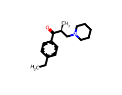 CCc1ccc(C(=O)[C@@H](C)CN2CCCCC2)cc1